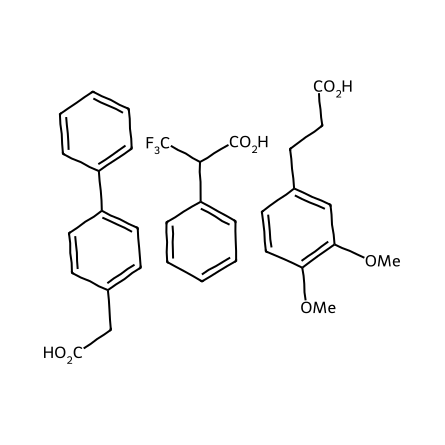 COc1ccc(CCC(=O)O)cc1OC.O=C(O)C(c1ccccc1)C(F)(F)F.O=C(O)Cc1ccc(-c2ccccc2)cc1